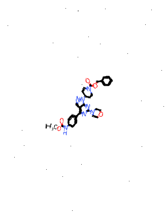 COC(=O)Nc1ccc(-c2nc(N3CCOCC3)nc3c2cnn3C2CCN(C(=O)OCc3ccccc3)CC2)cc1